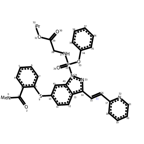 CNC(=O)c1ccccc1Sc1ccc2c(/C=C/c3ccccn3)nn(P(=O)(NCC(=O)OC(C)C)Oc3ccccc3)c2c1